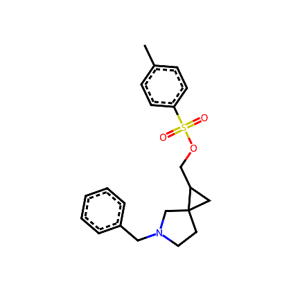 Cc1ccc(S(=O)(=O)OCC2CC23CCN(Cc2ccccc2)C3)cc1